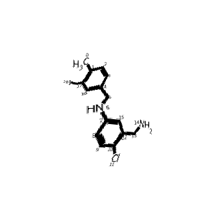 Cc1ccc(CNc2ccc(Cl)c(CN)c2)cc1I